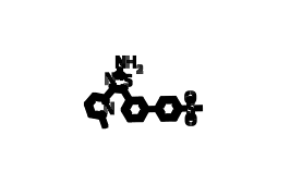 Cc1cccc(-c2nc(N)sc2-c2cccc(-c3ccc(S(C)(=O)=O)cc3)c2)n1